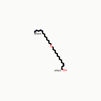 CCCCC/C=C\C/C=C\CCCCCCCCOC[CH]CCCCCCCC/C=C\C[C@H](O)CCCCCC